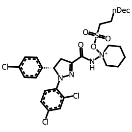 CCCCCCCCCCCCS(=O)(=O)O[N+]1(NC(=O)C2=NN(c3ccc(Cl)cc3Cl)[C@H](c3ccc(Cl)cc3)C2)CCCCC1